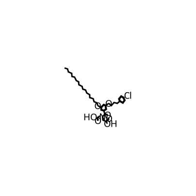 CCCCCCCCCCCCCCCCCCOc1cc(OCCCc2ccc(Cl)cc2)cc(C(=O)N(CC(=O)O)CC(=O)O)c1